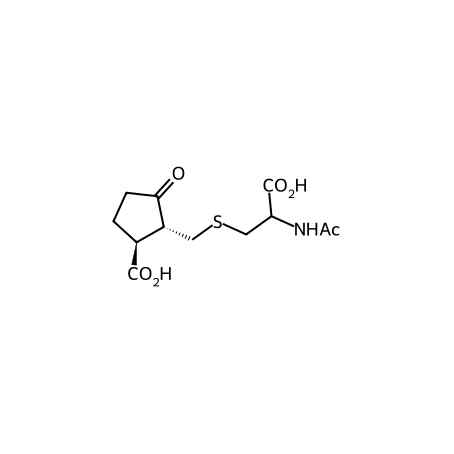 CC(=O)NC(CSC[C@H]1C(=O)CC[C@@H]1C(=O)O)C(=O)O